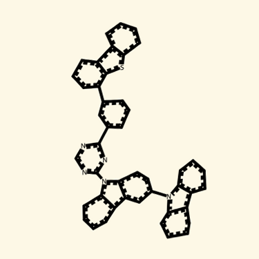 c1cc(-c2ncnc(-n3c4ccccc4c4cc(-n5c6ccccc6c6ccccc65)ccc43)n2)cc(-c2cccc3c2sc2ccccc23)c1